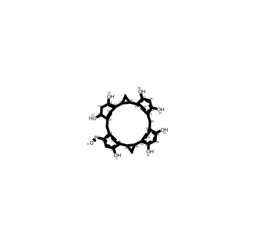 O=Nc1cc(O)c2cc1CC1=CC(=C(O)CC1O)C1CC1c1cc(c(O)cc1O)Cc1cc(c(O)cc1O)C1CC21